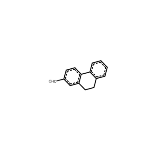 O=Cc1ccc2c(c1)CCc1ccccc1-2